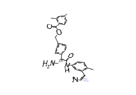 C=N/C=C\c1cc(NC(=O)[C@H](CN)c2ccc(COC(=O)c3ccc(C)cc3C)cc2)ccc1C